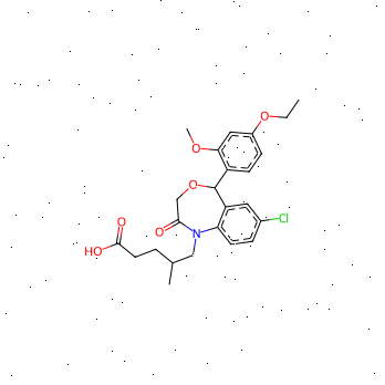 CCOc1ccc(C2OCC(=O)N(CC(C)CCC(=O)O)c3ccc(Cl)cc32)c(OC)c1